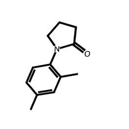 Cc1ccc(N2CCCC2=O)c(C)c1